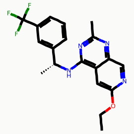 CCOc1cc2c(N[C@H](C)c3cccc(C(F)(F)F)c3)nc(C)nc2cn1